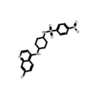 O=[N+]([O-])c1ccc(S(=O)(=O)NC2CCC(Nc3ccnc4cc(Cl)ccc34)CC2)cc1